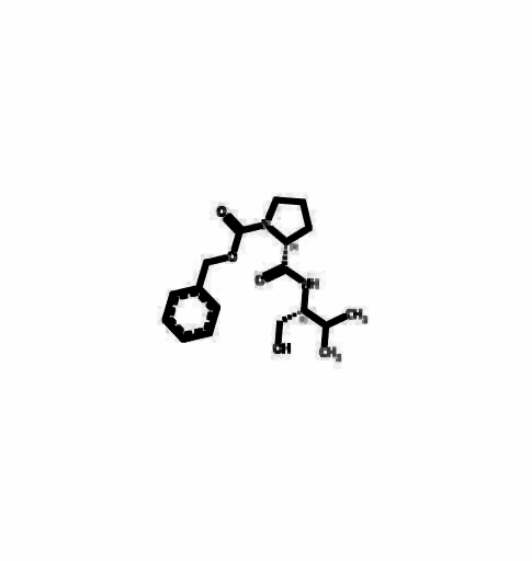 CC(C)[C@H](CO)NC(=O)[C@H]1CCCN1C(=O)OCc1ccccc1